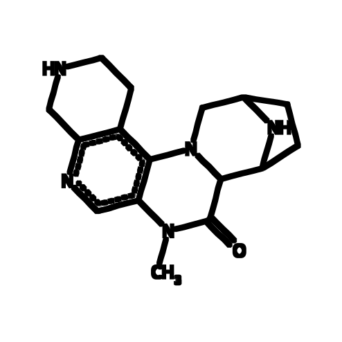 CN1C(=O)C2C3CCC(CN2c2c1cnc1c2CCNC1)N3